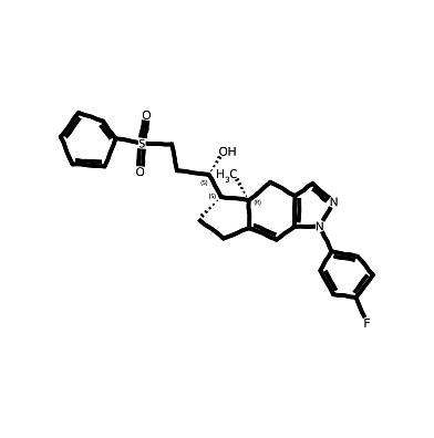 C[C@]12Cc3cnn(-c4ccc(F)cc4)c3C=C1CC[C@@H]2[C@@H](O)CCS(=O)(=O)c1ccccc1